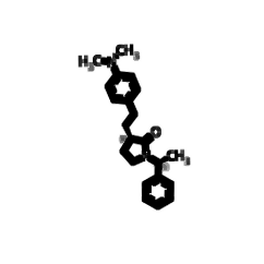 C[C@@H](c1ccccc1)N1CC[C@@H](CCc2ccc(N(C)C)cc2)C1=O